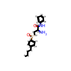 CCCCc1ccc([S+]([O-])CCC(N)C(=O)Nc2ccccc2)cc1